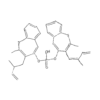 C=C/C(C)=C\C1=C(C)Sc2ccccc2C=C1OP(=O)(O)OC1=Cc2ccccc2SC(C)=C1CC(C)C=C